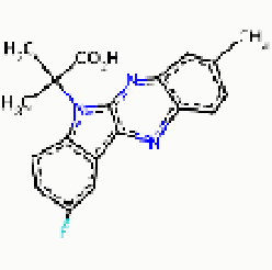 Cc1ccc2nc3c4cc(F)ccc4n(C(C)(C)C(=O)O)c3nc2c1